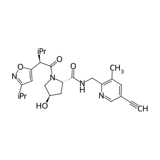 C#Cc1cnc(CNC(=O)[C@@H]2C[C@@H](O)CN2C(=O)[C@@H](c2cc(C(C)C)no2)C(C)C)c(C)c1